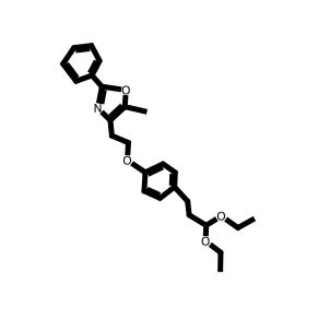 CCOC(CCc1ccc(OCCc2nc(-c3ccccc3)oc2C)cc1)OCC